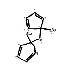 CC(C)(C)[C]1([Sn][C]2(C(C)(C)C)C=CC=C2)C=CC=C1